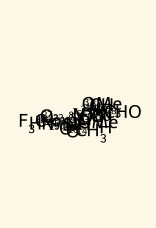 CCC(C)C(C(CC(=O)N1CCCC1C(OC)C(C)C(=O)N[S+]([O-])Cc1ccc(NC(=O)C(F)(F)F)cc1)OC)N(C)C(=O)CNC=O